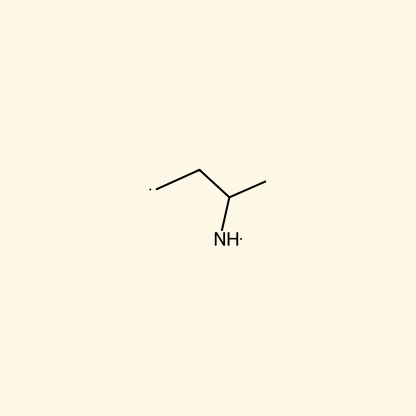 [CH2]CC(C)[NH]